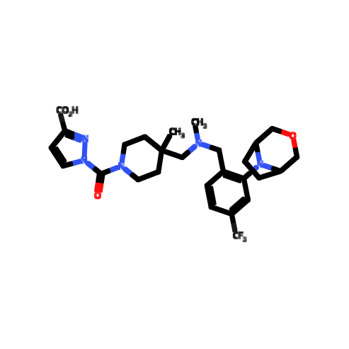 CN(Cc1ccc(C(F)(F)F)cc1N1C2CCC1COC2)CC1(C)CCN(C(=O)n2ccc(C(=O)O)n2)CC1